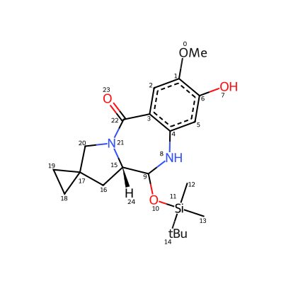 COc1cc2c(cc1O)NC(O[Si](C)(C)C(C)(C)C)[C@@H]1CC3(CC3)CN1C2=O